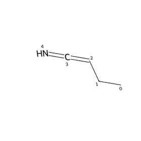 CCC=C=N